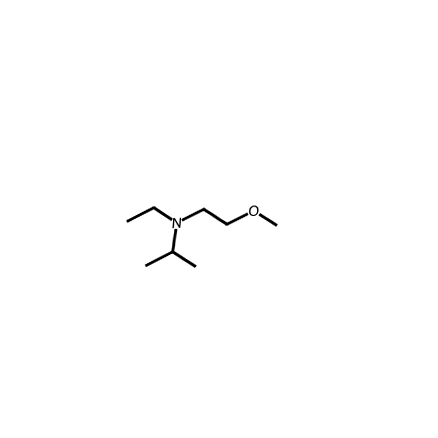 CCN(CCOC)C(C)C